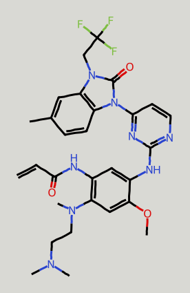 C=CC(=O)Nc1cc(Nc2nccc(-n3c(=O)n(CC(F)(F)F)c4cc(C)ccc43)n2)c(OC)cc1N(C)CCN(C)C